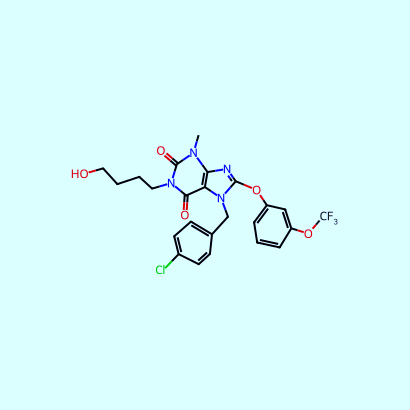 Cn1c(=O)n(CCCCO)c(=O)c2c1nc(Oc1cccc(OC(F)(F)F)c1)n2Cc1ccc(Cl)cc1